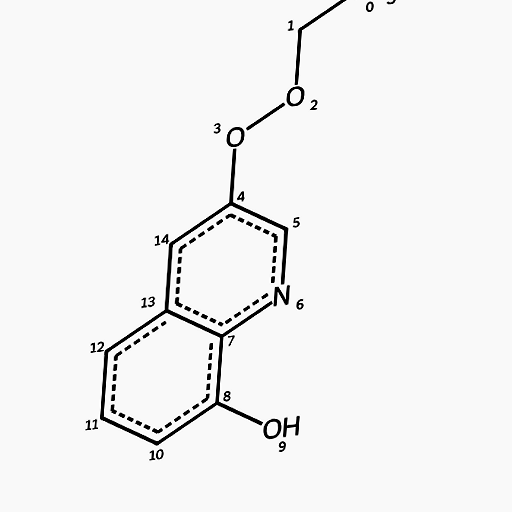 CCOOc1cnc2c(O)cccc2c1